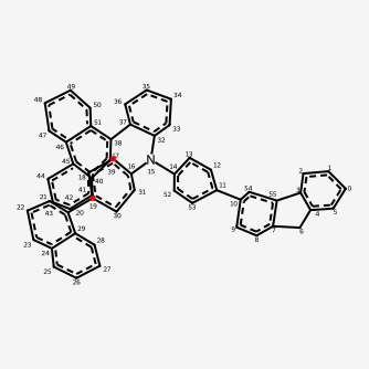 c1ccc2c(c1)Cc1ccc(-c3ccc(N(c4ccc(-c5cccc6ccccc56)cc4)c4ccccc4-c4cc5ccccc5c5ccccc45)cc3)cc1-2